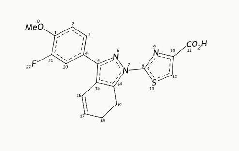 COc1ccc(-c2nn(-c3nc(C(=O)O)cs3)c3c2C=CCC3)cc1F